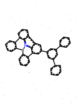 c1ccc(-c2cc(-c3ccccc3)cc(-c3cc4c5c(c3)c3cccc6c3n5B(c3ccccc3-6)c3ccccc3-4)c2)cc1